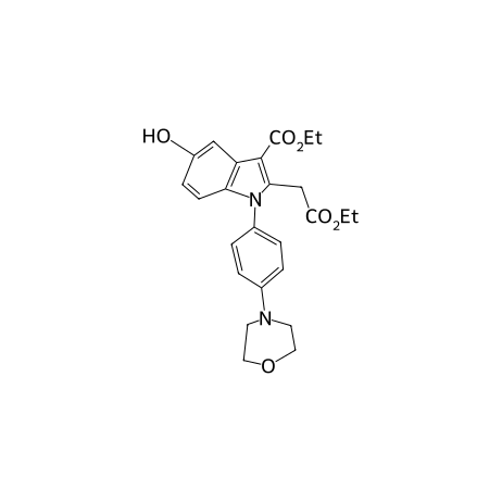 CCOC(=O)Cc1c(C(=O)OCC)c2cc(O)ccc2n1-c1ccc(N2CCOCC2)cc1